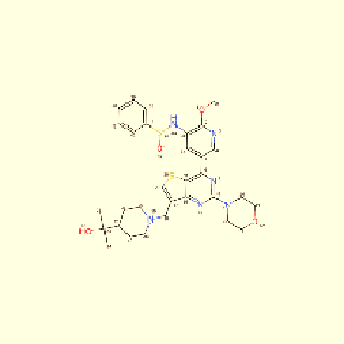 COc1ncc(-c2nc(N3CCOCC3)nc3c(CN4CCC(C(C)(C)O)CC4)csc23)cc1N[S+]([O-])c1ccccc1